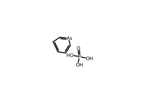 C1=CC=[As]C=C1.O=P(O)(O)O